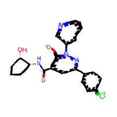 O=C(N[C@@H]1CCC[C@@H]1O)c1cc(-c2ccc(Cl)cc2)nn(-c2cccnc2)c1=O